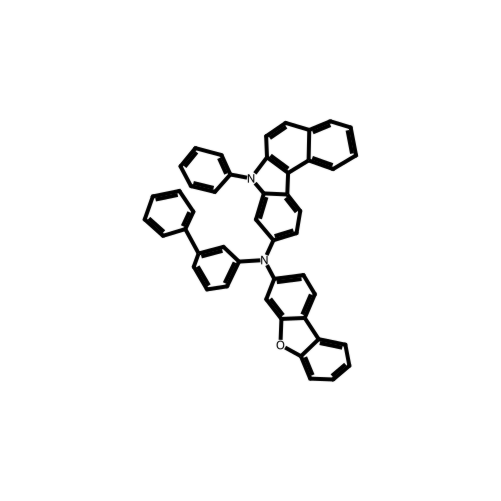 c1ccc(-c2cccc(N(c3ccc4c(c3)oc3ccccc34)c3ccc4c5c6ccccc6ccc5n(-c5ccccc5)c4c3)c2)cc1